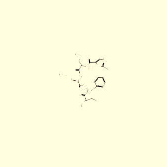 COCC(NC(=O)c1cnc(C)s1)C(=O)NC(COC)C(=O)N[C@@H](Cc1ccccc1)C(=O)[C@@](C)(CI)OC(=O)O